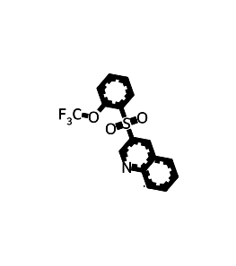 O=S(=O)(c1cnc2[c]cccc2c1)c1ccccc1OC(F)(F)F